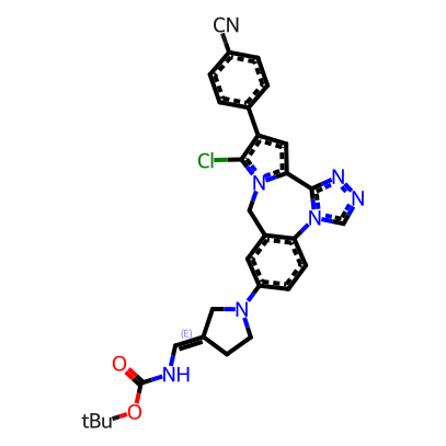 CC(C)(C)OC(=O)N/C=C1\CCN(c2ccc3c(c2)Cn2c(cc(-c4ccc(C#N)cc4)c2Cl)-c2nncn2-3)C1